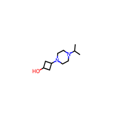 CC(C)N1CCN(C2CC(O)C2)CC1